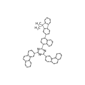 CC1(C)c2ccccc2-c2ccc(-c3ccc(-c4nc(-c5ccc6ccc7ccccc7c6c5)nc(-c5ccc6ccc7ccccc7c6c5)n4)c4ccccc34)cc21